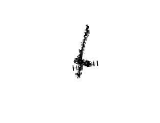 CCCCCCCCCCCCCCCCCCOc1cn(-c2ccc(O)cc2)c(CNCCCN(C)C)cc1=O